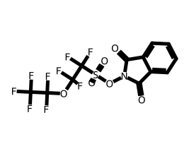 O=C1c2ccccc2C(=O)N1OS(=O)(=O)C(F)(F)C(F)(F)OC(F)(F)C(F)(F)F